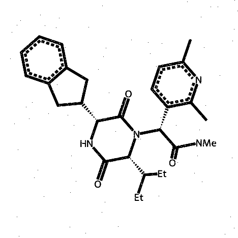 CCC(CC)[C@@H]1C(=O)N[C@H](C2Cc3ccccc3C2)C(=O)N1[C@@H](C(=O)NC)c1ccc(C)nc1C